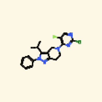 CC(C)c1c2c(nn1-c1ccccc1)CCN(c1nc(Cl)ncc1F)C2